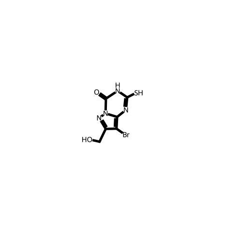 O=c1[nH]c(S)nc2c(Br)c(CO)nn12